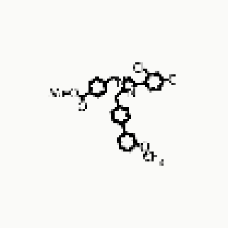 COC(=O)c1ccc(Cn2cc(-c3ccc(Cl)cc3Cl)nc2Cc2ccc(-c3cccc(OC(F)(F)F)c3)cc2)cc1